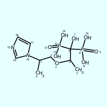 CC(COC(C)C(O)(P(=O)(O)O)P(=O)(O)O)n1ccnc1